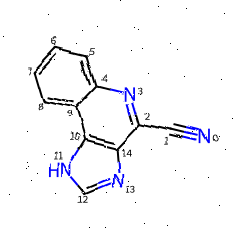 N#Cc1nc2ccccc2c2[nH]cnc12